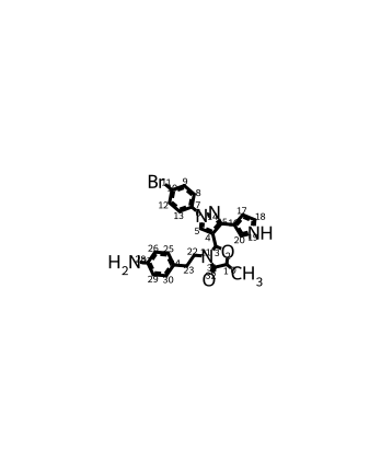 CC1OC(c2cn(-c3ccc(Br)cc3)nc2-c2cc[nH]c2)N(CCc2ccc(N)cc2)C1=O